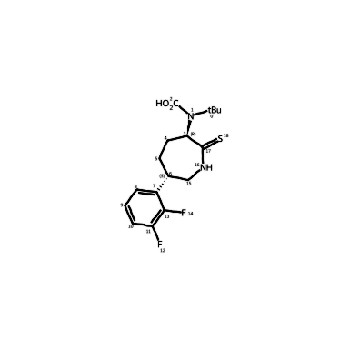 CC(C)(C)N(C(=O)O)[C@@H]1CC[C@@H](c2cccc(F)c2F)CNC1=S